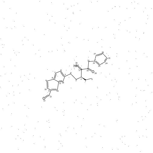 CC[C@@H](CCc1ccc2ccc([C]=O)cc2c1)C(=N)C(=O)Cc1ccccc1